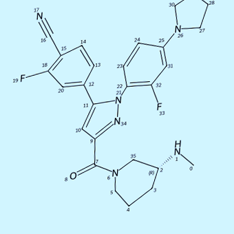 CN[C@@H]1CCCN(C(=O)c2cc(-c3ccc(C#N)c(F)c3)n(-c3ccc(N4CCCC4)cc3F)n2)C1